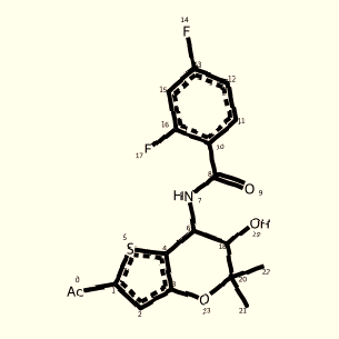 CC(=O)c1cc2c(s1)C(NC(=O)c1ccc(F)cc1F)C(O)C(C)(C)O2